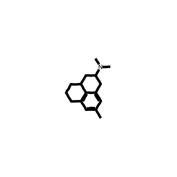 Cc1cc2c3c(c1)CC(N(C)C)CC3CCC2